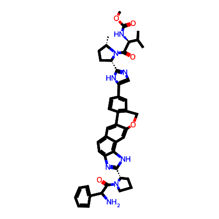 COC(=O)N[C@H](C(=O)N1[C@@H](C)CC[C@H]1c1ncc(-c2ccc3c(c2)COc2cc4c(ccc5nc([C@@H]6CCCN6C(=O)C(N)c6ccccc6)[nH]c54)cc2-3)[nH]1)C(C)C